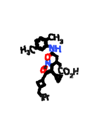 Cc1ccc(C)c(NC(=O)CC(CC(=O)O)c2noc(C3CC(CC(C)C)C3)c2C2CC2)c1